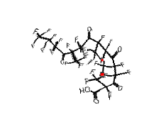 O=C(O)C(F)(C(=O)C(F)(F)C(F)(C(=O)C(F)(F)C(F)(C(=O)C(F)(F)C(F)(C(=O)C(F)(F)C(F)(F)C(F)(F)F)C(F)(F)F)C(F)(F)F)C(F)(F)F)C(F)(F)F